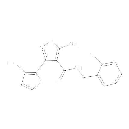 Cc1ccsc1-c1noc(N)c1C(=O)NCc1ccccc1Br